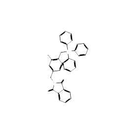 O=C1c2ccccc2C(=O)N1Cc1ccc(C[P+](c2ccccc2)(c2ccccc2)c2ccccc2)c(Cl)c1.[Br-]